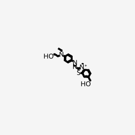 CCN(CCO)c1ccc(/N=N/c2sc3cc(CO)ccc3[n+]2C)cc1